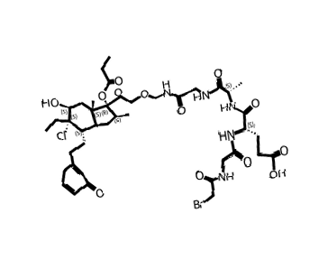 CCC(=O)O[C@]1(C(=O)COCNC(=O)CNC(=O)[C@H](C)NC(=O)[C@H](CCC(=O)O)NC(=O)CNC(=O)CBr)[C@@H](C)CC2[C@H](CCC3=CC(=O)C=CC3)[C@@](Cl)(CC)[C@@H](O)C[C@@]21C